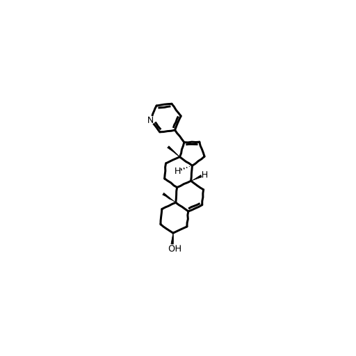 C[C@]12CC[C@H](O)CC1=CC[C@@H]1C2CC[C@]2(C)C(c3cccnc3)=CC[C@@H]12